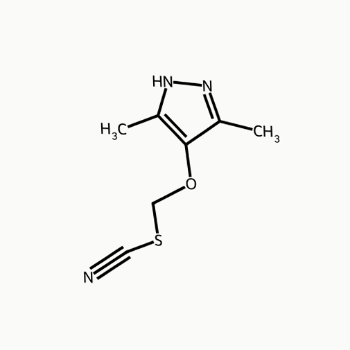 Cc1n[nH]c(C)c1OCSC#N